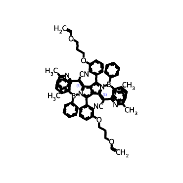 C=COCCCOc1cccc(-c2c3/c(=C(\C#N)c4nc(C)cc(C)n4)n(B(c4ccccc4)c4ccccc4)c(-c4cccc(OCCCOC=C)c4)c3/c(=C(\C#N)c3nc(C)cc(C)n3)n2B(c2ccccc2)c2ccccc2)c1